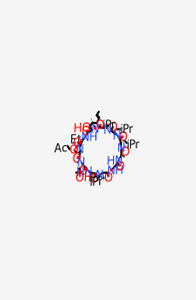 C/C=C/C[C@@H](C)[C@@H](O)[C@H]1C(=O)N[C@@H](CC)C(=O)N(C)[C@H](COCCC(C)=O)C(=O)N(C)[C@@H](CC(C)(C)O)C(=O)N[C@@H](C(C)C)C(=O)N(C)[C@@H](CC(C)C)C(=O)N[C@@H](C)C(=O)N[C@H](C)C(=O)N(C)[C@@H](CC(C)C)C(=O)N(C)[C@@H](CC(C)C)C(=O)N(C)[C@@H](C(C)C)C(=O)N1C